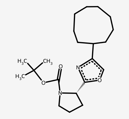 CC(C)(C)OC(=O)N1CCC[C@H]1c1nc(C2CCCCCCCC2)co1